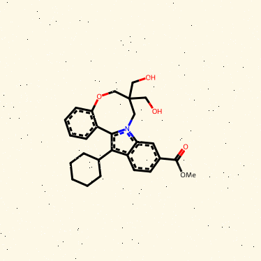 COC(=O)c1ccc2c(C3CCCCC3)c3n(c2c1)CC(CO)(CO)COc1ccccc1-3